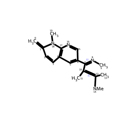 C=C1C=Cc2cc(C(=N/C)/C(C)=C(\C)NC)cnc2N1C